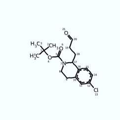 CC(C)(C)OC(=O)N1CCc2cc(Cl)ccc2C1CCC=O